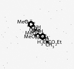 CCCCCC(OC)(OC)C(NC(=O)Nc1ccc(OC)cc1OC)c1ccc(OC(C)(C)C(=O)OCC)cc1